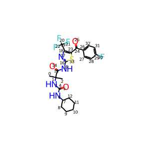 CC(C)(NC(=O)NC1CCCCC1)C(=O)Nc1nc(C(F)(F)F)c(C(=O)c2ccc(F)cc2)s1